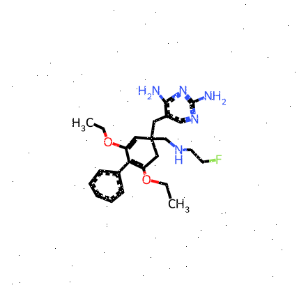 CCOC1=CC(CNCCF)(Cc2cnc(N)nc2N)CC(OCC)=C1c1ccccc1